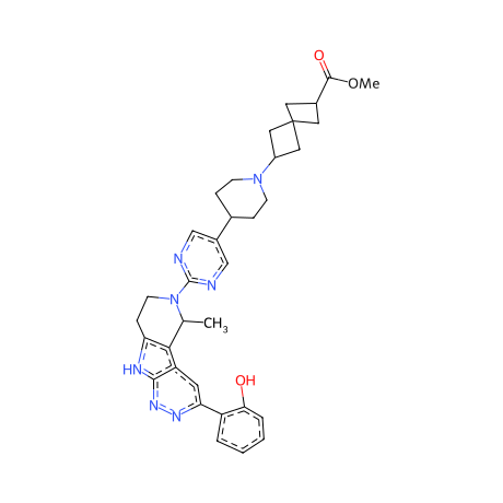 COC(=O)C1CC2(C1)CC(N1CCC(c3cnc(N4CCc5[nH]c6nnc(-c7ccccc7O)cc6c5C4C)nc3)CC1)C2